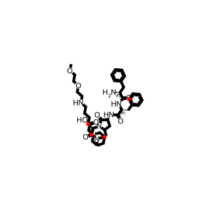 COCCOCCNCCCC[C@H](C(=O)N1C2CC1CN(CC(=O)O)C2)N1C(=O)[C@H](NC(=O)[C@@H](Cc2ccccc2)NC(=O)[C@H](N)Cc2ccccc2)CC1C